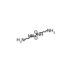 NCCCCCNC(=O)C(=O)NCCCCCN